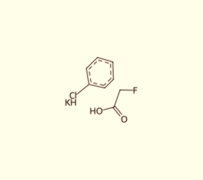 Clc1ccccc1.O=C(O)CF.[KH]